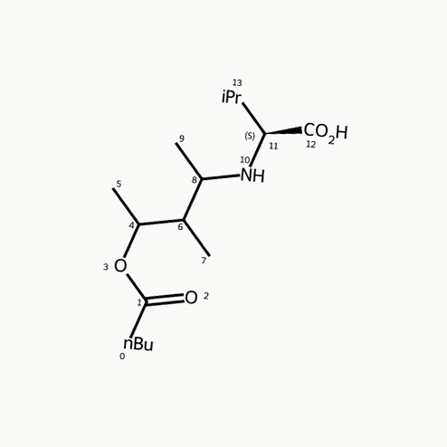 CCCCC(=O)OC(C)C(C)C(C)N[C@H](C(=O)O)C(C)C